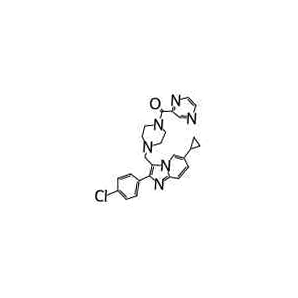 O=C(c1cnccn1)N1CCN(Cc2c(-c3ccc(Cl)cc3)nc3ccc(C4CC4)cn23)CC1